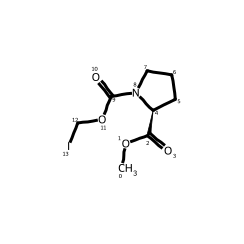 COC(=O)[C@@H]1CCCN1C(=O)OCI